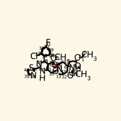 CCOC(=O)CC1(N[S+](C)[O-])CC2COCC(CN(CC3=C(C(=O)OC)[C@H](c4ccc(F)cc4Cl)N=C(c4nccs4)N3)C2)C1